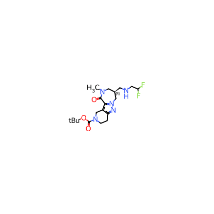 CN1C[C@@H](CNCC(F)F)Cn2nc3c(c2C1=O)CN(C(=O)OC(C)(C)C)CC3